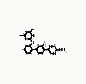 Cc1cc(C)nc(Oc2ccccc2-c2ccc(-c3cnc(N)cn3)c(F)c2)n1